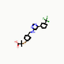 CC(C)(Sc1ccc(CNc2cc(-c3cccc(C(F)(F)F)c3)ncn2)cc1)C(=O)O